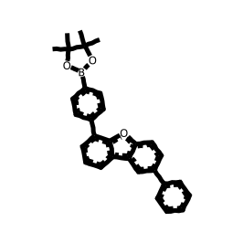 CC1(C)OB(c2ccc(-c3cccc4c3oc3ccc(-c5ccccc5)cc34)cc2)OC1(C)C